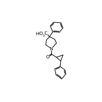 O=C(C1CC1c1ccccc1)N1CCC(C(=O)O)(c2ccccc2)CC1